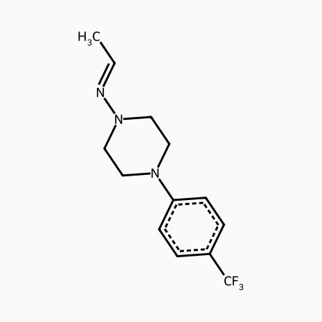 C/C=N/N1CCN(c2ccc(C(F)(F)F)cc2)CC1